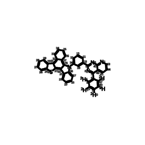 [2H]c1c([2H])c([2H])c(-c2nc(-c3cccc(-n4c5ccccc5c5c6sc7ccccc7c6c6ccccc6c54)c3)nc3ncccc23)c([2H])c1[2H]